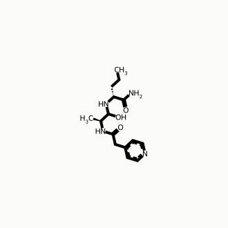 CCC[C@@H](NC(O)[C@H](C)NC(=O)Cc1ccncc1)C(N)=O